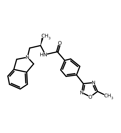 Cc1nc(-c2ccc(C(=O)N[C@H](C)CN3Cc4ccccc4C3)cc2)no1